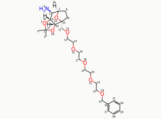 CC1(C)O[C@@H]2[C@@H](N)[C@H]3CC[C@](COCCOCCOCCOCCOCc4ccccc4)(O3)[C@@H]2O1